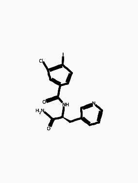 NC(=O)[C@H](Cc1cccnc1)NC(=O)c1ccc(I)c(Cl)c1